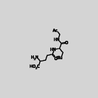 CC(=O)CNC(=O)C(CC(C)(C)C)NC(=O)CCC(N)C(=O)O